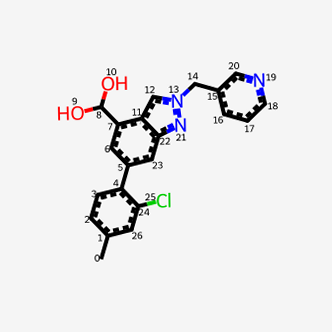 Cc1ccc(-c2cc(C(O)O)c3cn(Cc4cccnc4)nc3c2)c(Cl)c1